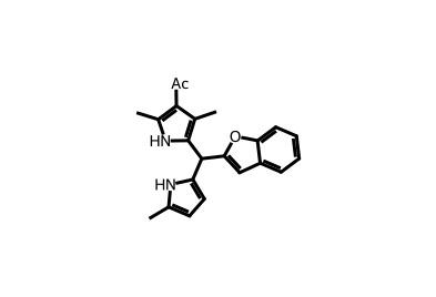 CC(=O)c1c(C)[nH]c(C(c2ccc(C)[nH]2)c2cc3ccccc3o2)c1C